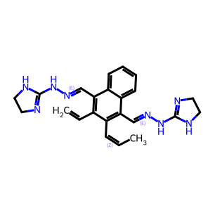 C=Cc1c(/C=C\C)c(/C=N/NC2=NCCN2)c2ccccc2c1/C=N/NC1=NCCN1